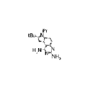 CC(C)n1c(C(C)(C)C)cc2c3c(N)nc(N)nc3ccc21